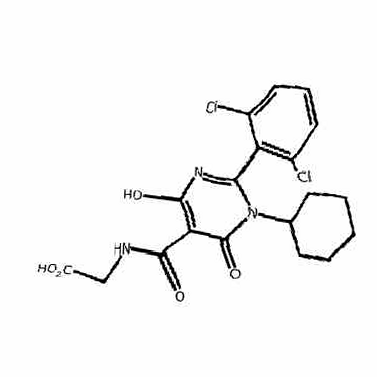 O=C(O)CNC(=O)c1c(O)nc(-c2c(Cl)cccc2Cl)n(C2CCCCC2)c1=O